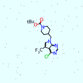 CC(C)(C)OC(=O)N1CCC(Cn2cc(C(F)(F)F)c3c(Cl)ncnc32)CC1